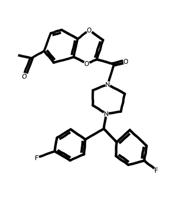 CC(=O)c1ccc2c(c1)OC(C(=O)N1CCN(C(c3ccc(F)cc3)c3ccc(F)cc3)CC1)=CO2